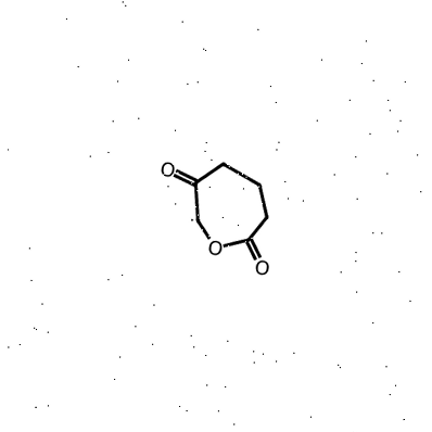 O=C1[CH]OC(=O)CCC1